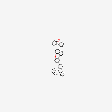 c1ccc2c(c1)-c1ccc(-c3ccc4c(c3)-c3cccc5c(-c6cccc7oc8ccccc8c67)ccc(c35)O4)cc1C21C2CC3CC(C2)CC1C3